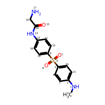 CNc1ccc(S(=O)(=O)c2ccc(NC(=O)CN)cc2)cc1